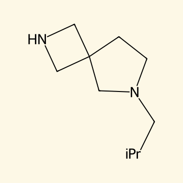 CC(C)CN1CCC2(CNC2)C1